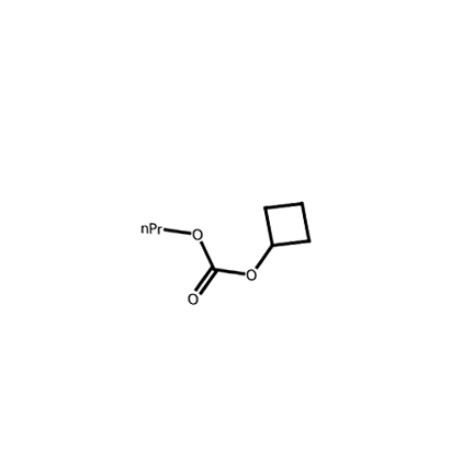 CCCOC(=O)OC1CCC1